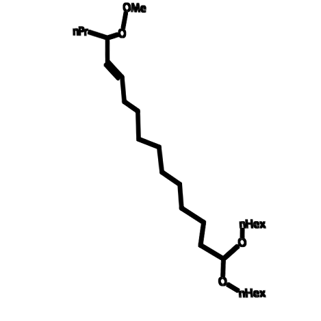 CCCCCCOC(CCCCCCCCCC=CC(CCC)OOC)OCCCCCC